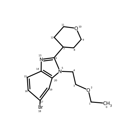 CCOCCn1c(C2CCOCC2)nc2ccc(Br)cc21